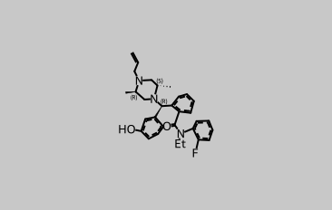 C=CCN1C[C@H](C)N([C@H](c2cccc(O)c2)c2ccccc2C(=O)N(CC)c2ccccc2F)C[C@H]1C